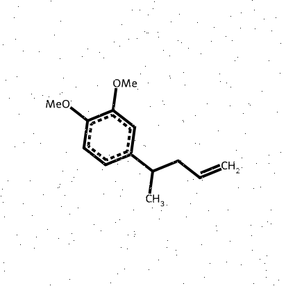 C=CCC(C)c1ccc(OC)c(OC)c1